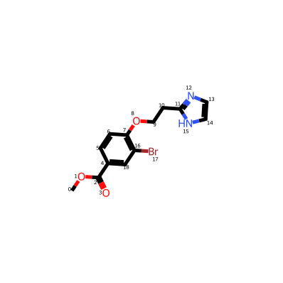 COC(=O)c1ccc(OCCc2ncc[nH]2)c(Br)c1